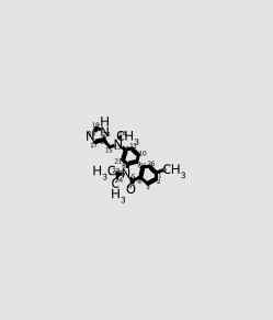 Cc1ccc(C(=O)N(c2cccc(N(C)Cc3cnc[nH]3)c2)C(C)C)cc1